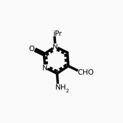 CC(C)n1cc(C=O)c(N)nc1=O